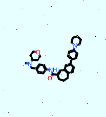 CN(Cc1ccc(NC(=O)C2=Cc3cc(-c4ccc(N5CCCCC5)cc4)ccc3CCC2)cc1)C1CCOCC1